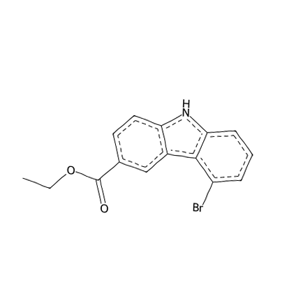 CCOC(=O)c1ccc2[nH]c3cccc(Br)c3c2c1